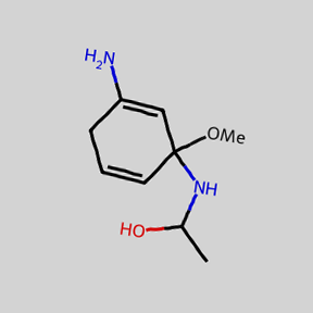 COC1(NC(C)O)C=CCC(N)=C1